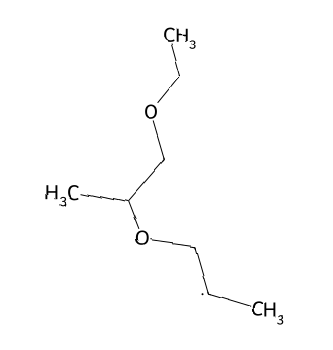 C[CH]COC(C)COCC